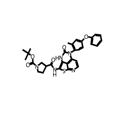 Cc1cc(Oc2ccccc2)ccc1N1C(=O)Nc2c(NC(=O)C3CCN(C(=O)OC(C)(C)C)C3)sc3nccc1c23